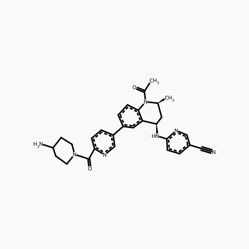 CC(=O)N1c2ccc(-c3ccc(C(=O)N4CCC(N)CC4)nc3)cc2[C@H](Nc2ccc(C#N)cn2)C[C@@H]1C